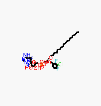 CCCCCCCCCCCCCCCCCCOC[C@H](COP(=O)(O)OCC1O[C@@](C#N)(c2ccc3c(N)ncnn23)[C@H](O)[C@@H]1O)OCc1ccc(F)c(Cl)c1F